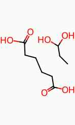 CCC(O)O.O=C(O)CCCCC(=O)O